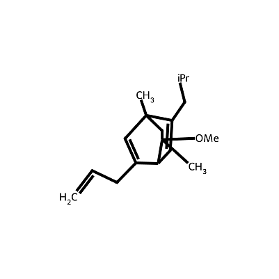 C=CCC1=CC2(C)CC(C)(OC)C1C=C2CC(C)C